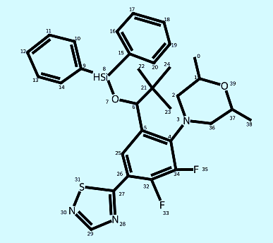 CC1CN(c2c(C(O[SiH](c3ccccc3)c3ccccc3)C(C)(C)C)cc(-c3ncns3)c(F)c2F)CC(C)O1